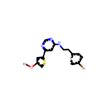 CCOc1csc(-c2cc(NCCc3ccc(Br)cc3)ncn2)c1